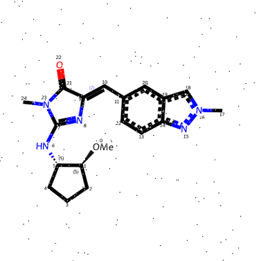 CO[C@H]1CCC[C@@H]1NC1=N/C(=C\c2ccc3nn(C)cc3c2)C(=O)N1C